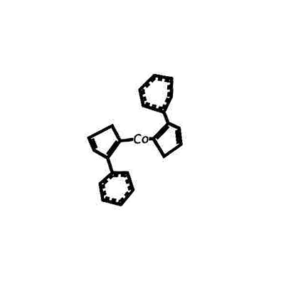 C1=CC(c2ccccc2)=[C]([Co][C]2=C(c3ccccc3)C=CC2)C1